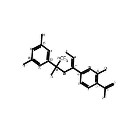 C=C(C)c1ccc(/C(=C/C)CC(C)(c2cc(C)cc(C)c2)C(F)(F)F)cc1C